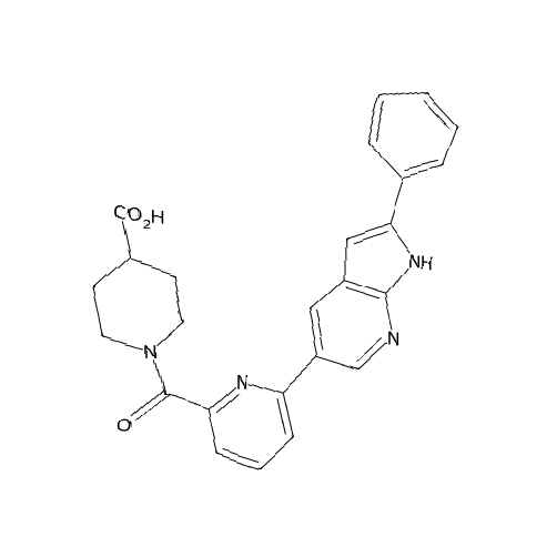 O=C(O)C1CCN(C(=O)c2cccc(-c3cnc4[nH]c(-c5ccccc5)cc4c3)n2)CC1